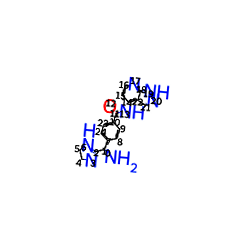 NC(C1=NCCN1)c1ccc(C(=O)Nc2ccnc3[nH]ncc23)cc1